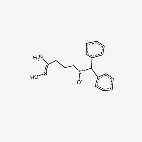 NC(CCC[S+]([O-])C(c1ccccc1)c1ccccc1)=NO